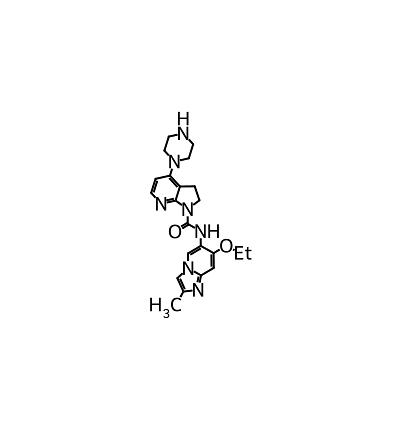 CCOc1cc2nc(C)cn2cc1NC(=O)N1CCc2c(N3CCNCC3)ccnc21